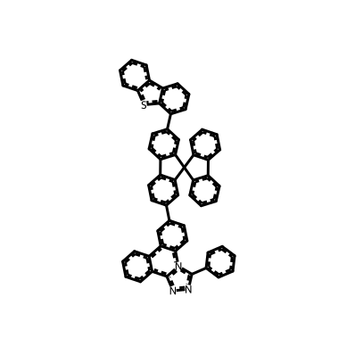 c1ccc(-c2nnc3c4ccccc4c4cc(-c5ccc6c(c5)C5(c7ccccc7-c7ccccc75)c5cc(-c7cccc8c7sc7ccccc78)ccc5-6)ccc4n23)cc1